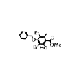 CCc1c(C)c(C(=O)OC)c(O)c(Br)c1OCc1ccccc1